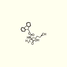 C#CCCCC[C@](C)(NC(=O)OCC1c2ccccc2-c2ccccc21)C(=O)O